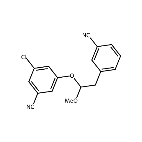 COC(Cc1cccc(C#N)c1)Oc1cc(Cl)cc(C#N)c1